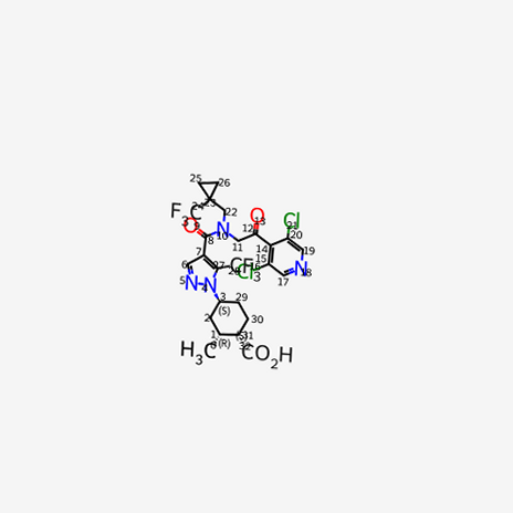 C[C@@H]1C[C@@H](n2ncc(C(=O)N(CC(=O)c3c(Cl)cncc3Cl)CC3(C(F)(F)F)CC3)c2C(F)(F)F)CC[C@@H]1C(=O)O